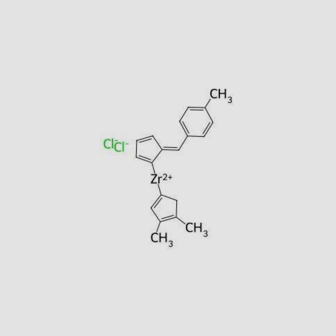 CC1=C(C)C[C]([Zr+2][C]2=CC=CC2=Cc2ccc(C)cc2)=C1.[Cl-].[Cl-]